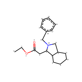 CCOC(=O)CC1C2CCCCC2CN1Cc1ccccc1